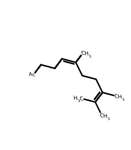 CC(=O)CCC=C(C)CCC(C)=C(C)C